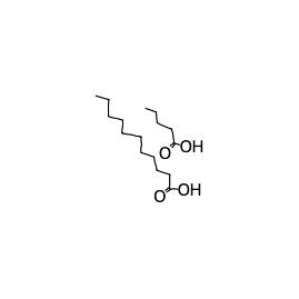 CCCCC(=O)O.CCCCCCCCCCC(=O)O